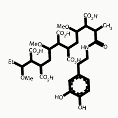 CCC(OC)C(C(=O)O)C(CC(OC)C(C(=O)O)C(CC(OC)C(C(=O)O)C(C)C(=O)NCCc1ccc(O)c(O)c1)C(=O)O)C(=O)O